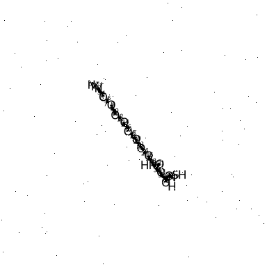 [N-]=[N+]=NCCOCCOCCOCCOCCOCCOCCOCCOCCNC(=O)COCC(=O)ONS